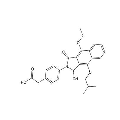 CCOc1c2c(c(OCC(C)C)c3ccccc13)C(O)N(c1ccc(CC(=O)O)cc1)C2=O